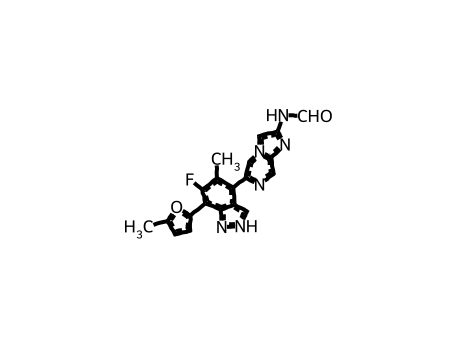 Cc1ccc(-c2c(F)c(C)c(-c3cn4cc(NC=O)nc4cn3)c3c[nH]nc23)o1